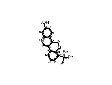 Oc1ccc2c3c(cnc2c1)-c1cccc(C(F)(F)F)c1OC3